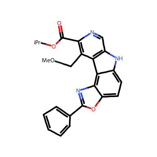 COCc1c(C(=O)OC(C)C)ncc2[nH]c3ccc4oc(-c5ccccc5)nc4c3c12